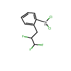 FC(F)C(F)Cc1ccccc1[SiH](Cl)Cl